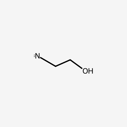 [N]CCO